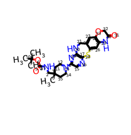 CC1(CNC(=O)OC(C)(C)C)CCN(c2cnc3c(n2)NCc2cc4c(cc2S3)NC(=O)CO4)CC1